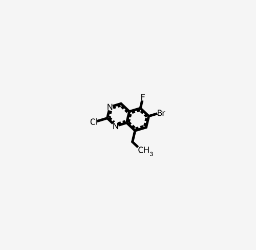 CCc1cc(Br)c(F)c2cnc(Cl)nc12